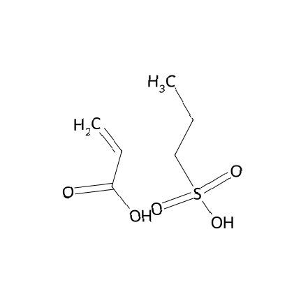 C=CC(=O)O.CCCS(=O)(=O)O